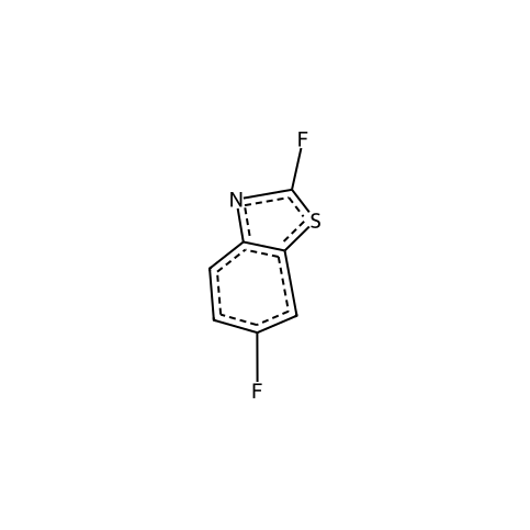 Fc1ccc2nc(F)sc2c1